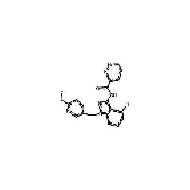 O=C(Nc1nn(Cc2ccc(CF)nc2)c2cccc(Cl)c12)c1cccnn1